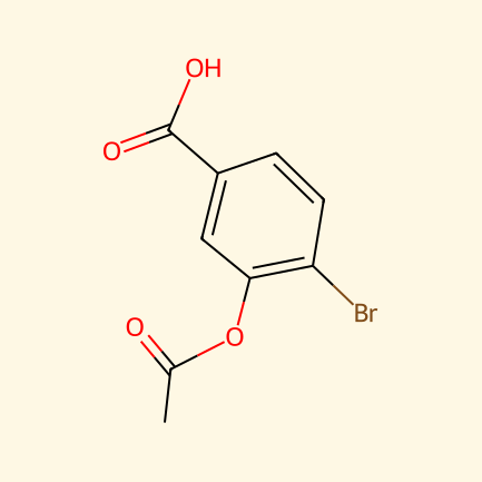 CC(=O)Oc1cc(C(=O)O)ccc1Br